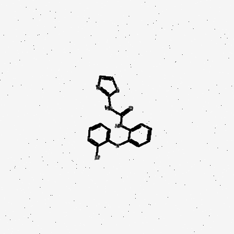 CCc1ccccc1Sc1ccccc1NC(=O)Nc1nccs1